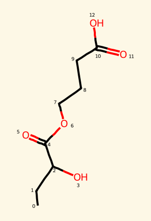 CCC(O)C(=O)OCCCC(=O)O